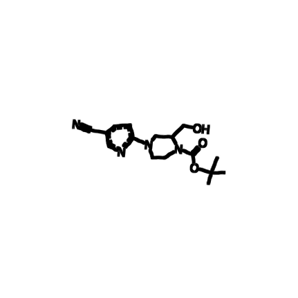 CC(C)(C)OC(=O)N1CCN(c2ccc(C#N)cn2)CC1CO